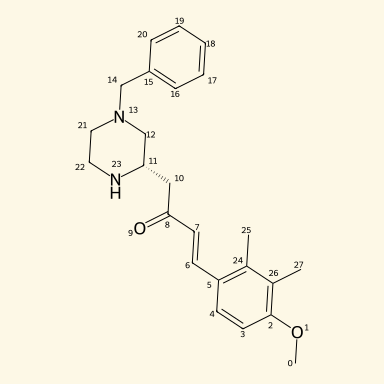 COc1ccc(/C=C/C(=O)C[C@H]2CN(Cc3ccccc3)CCN2)c(C)c1C